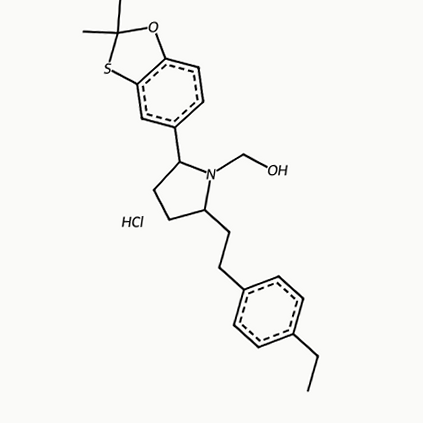 CCc1ccc(CCC2CCC(c3ccc4c(c3)SC(C)(C)O4)N2CO)cc1.Cl